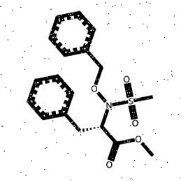 COC(=O)[C@H](Cc1ccccc1)N(OCc1ccccc1)S(C)(=O)=O